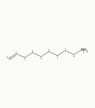 C=CCCCCCC[CH2][AlH2]